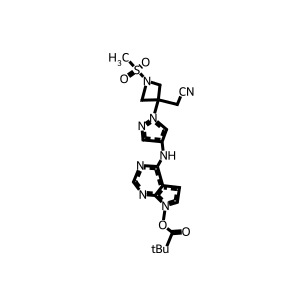 CC(C)(C)C(=O)On1ccc2c(Nc3cnn(C4(CC#N)CN(S(C)(=O)=O)C4)c3)ncnc21